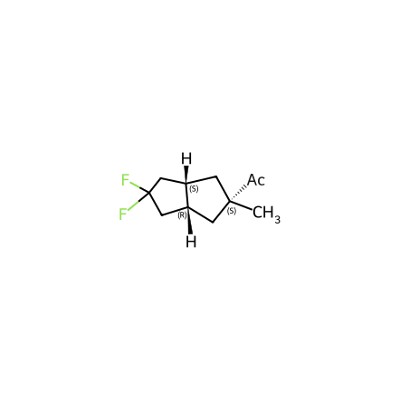 CC(=O)[C@@]1(C)C[C@H]2CC(F)(F)C[C@H]2C1